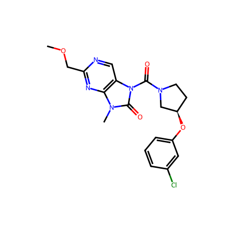 COCc1ncc2c(n1)n(C)c(=O)n2C(=O)N1CC[C@@H](Oc2cccc(Cl)c2)C1